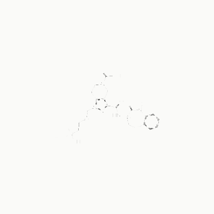 CN1C(=O)[C@@H](NC(=O)c2nn(COCC[Si](C)(C)C)c3c2CN(C(=O)O)CC3)COc2ccccc21